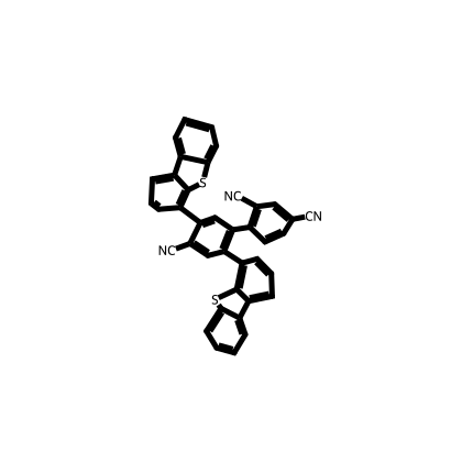 N#Cc1ccc(-c2cc(-c3cccc4c3sc3ccccc34)c(C#N)cc2-c2cccc3c2sc2ccccc23)c(C#N)c1